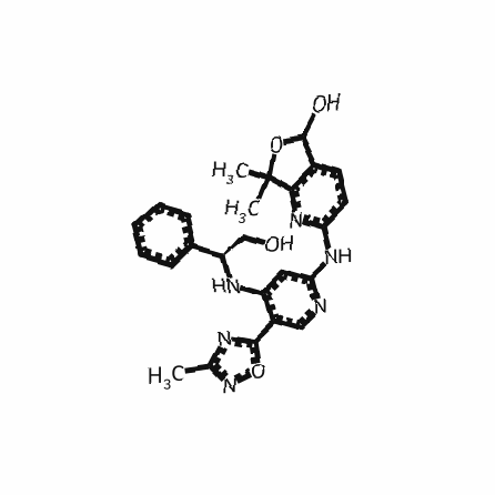 Cc1noc(-c2cnc(Nc3ccc4c(n3)C(C)(C)OC4O)cc2N[C@H](CO)c2ccccc2)n1